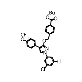 CC(C)(C)OC(=O)c1ccc(COc2nn(-c3cc(Cl)cc(Cl)c3)cc2-c2ccc(OC(F)(F)F)cc2)cc1